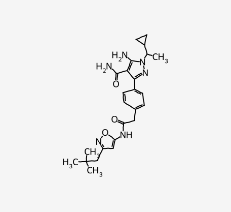 CC(C1CC1)n1nc(-c2ccc(CC(=O)Nc3cc(CC(C)(C)C)no3)cc2)c(C(N)=O)c1N